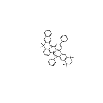 CC1(C)CCC(C)(C)c2cc3c(cc21)-c1cc(-c2ccccc2)cc2c1B(c1cccc4c1N2c1cc2ccccc2cc1C4(C)C)N3c1ccccc1